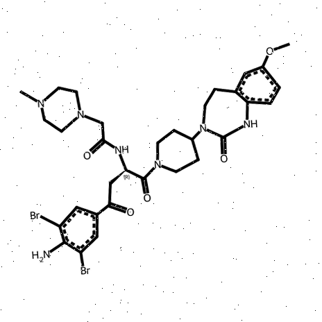 COc1ccc2c(c1)CCN(C1CCN(C(=O)[C@@H](CC(=O)c3cc(Br)c(N)c(Br)c3)NC(=O)CN3CCN(C)CC3)CC1)C(=O)N2